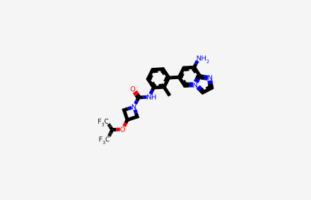 Cc1c(NC(=O)N2CC(OC(C(F)(F)F)C(F)(F)F)C2)cccc1-c1cc(N)c2nccn2c1